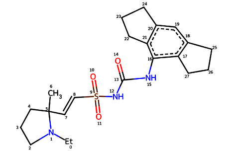 CCN1CCCC1(C)/C=C/S(=O)(=O)NC(=O)Nc1c2c(cc3c1CCC3)CCC2